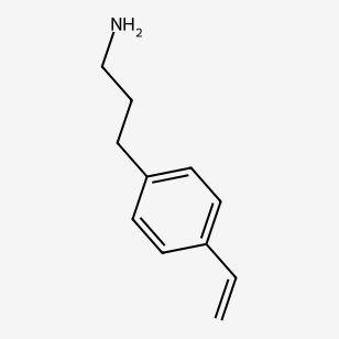 C=Cc1ccc(CCCN)cc1